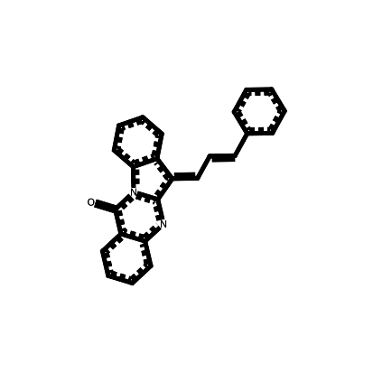 O=c1c2ccccc2nc2/c(=C/C=C/c3ccccc3)c3ccccc3n12